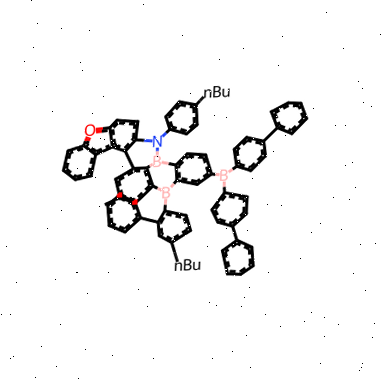 CCCCc1ccc(N2B3c4ccc(B(c5ccc(-c6ccccc6)cc5)c5ccc(-c6ccccc6)cc5)cc4B(c4ccc(CCCC)cc4-c4ccccc4)c4cc(C)cc(c43)-c3c2ccc2oc4ccccc4c32)cc1